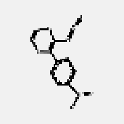 O=C=NC1=C(c2ccc([N+](=O)[O-])cc2)OC=CO1